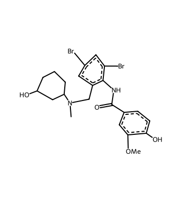 COc1cc(C(=O)Nc2c(Br)cc(Br)cc2CN(C)C2CCCC(O)C2)ccc1O